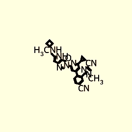 Cn1cc(C#N)nc1-c1cc(C#N)ccc1-c1cc(C2CC2)nc(-n2cnc3cc(CNC4(C)CCC4)[nH]c3c2=O)c1